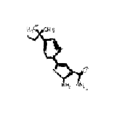 CC(O)(CI)c1ccc(-c2cc(C(N)=O)c(N)s2)cc1